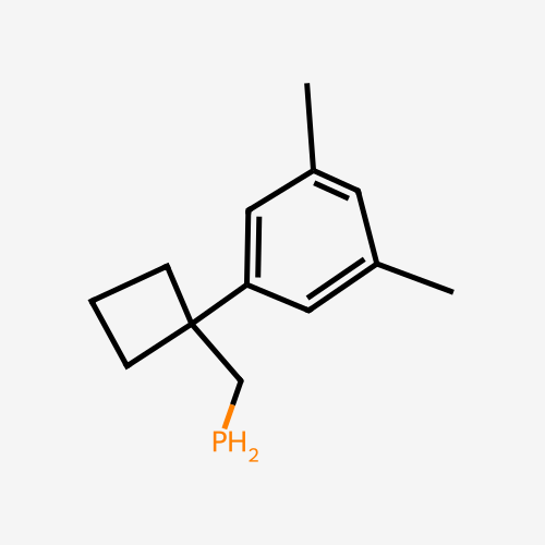 Cc1cc(C)cc(C2(CP)CCC2)c1